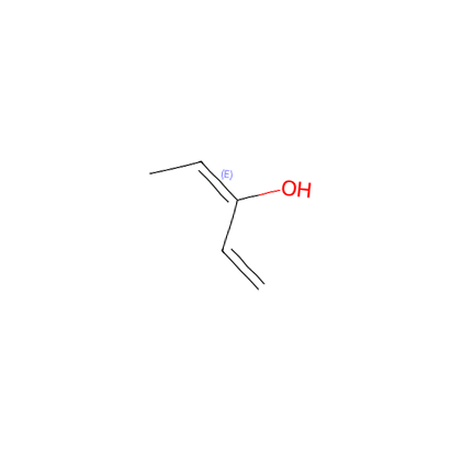 C=C/C(O)=C\C